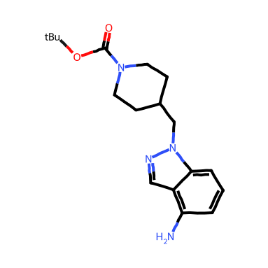 CC(C)(C)OC(=O)N1CCC(Cn2ncc3c(N)cccc32)CC1